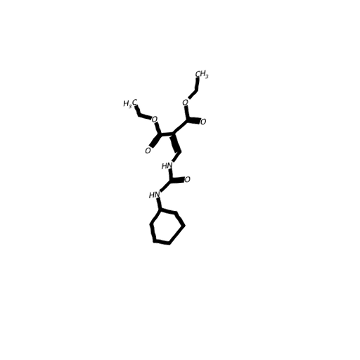 CCOC(=O)C(=CNC(=O)NC1CCCCC1)C(=O)OCC